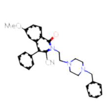 COc1ccc2c(=O)n(CCN3CCN(Cc4ccccc4)CC3)c(C#N)c(-c3ccccc3)c2c1